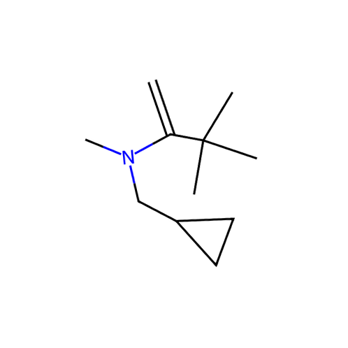 C=C(N(C)CC1CC1)C(C)(C)C